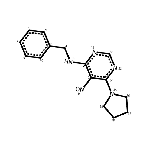 O=Nc1c(NCc2ccccc2)ncnc1N1CCCC1